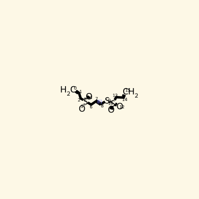 C=CCS(=O)(=O)C/C=C/SS(=O)(=O)CC=C